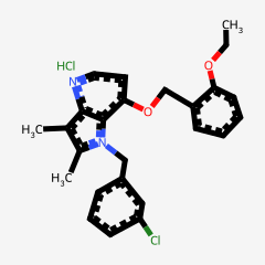 CCOc1ccccc1COc1ccnc2c(C)c(C)n(Cc3cccc(Cl)c3)c12.Cl